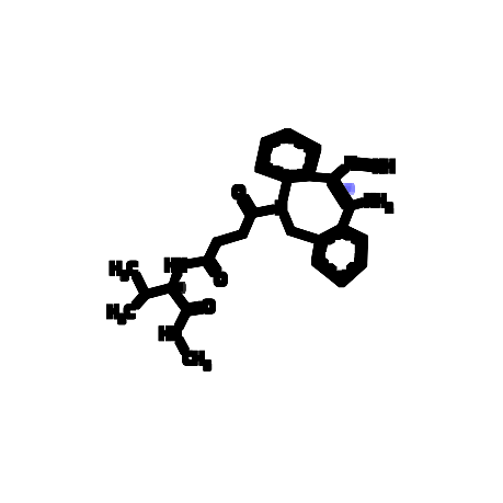 CNC(=O)[C@H](NC(=O)CCC(=O)N1Cc2ccccc2/C(N)=C(/N=N)c2ccccc21)C(C)C